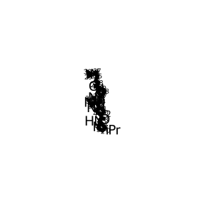 CC(C)c1ccnc(NC(=O)c2ccc(-c3nn(C4CCCN(C(=O)/C=C/CN(C)C5CC5)C4)c4ncnc(N)c34)cc2)c1